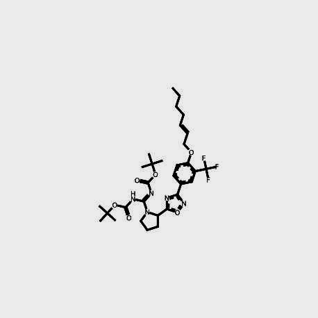 CCCC/C=C/COc1ccc(-c2noc(C3CCCN3C(=NC(=O)OC(C)(C)C)NC(=O)OC(C)(C)C)n2)cc1C(F)(F)F